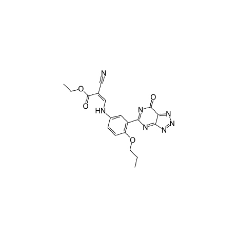 CCCOc1ccc(NC=C(C#N)C(=O)OCC)cc1C1=NC(=O)C2=NN=NC2=N1